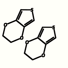 c1scc2c1OCCO2.c1scc2c1OCCO2